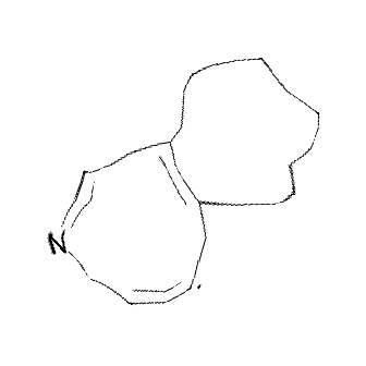 [c]1cncc2c1CCCC2